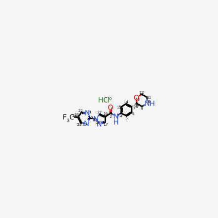 Cl.O=C(Nc1ccc([C@H]2CNCCO2)cc1)c1cnn(-c2ncc(C(F)(F)F)cn2)c1